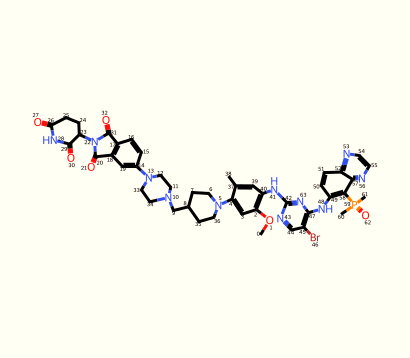 COc1cc(N2CCC(CN3CCN(c4ccc5c(c4)C(=O)N(C4CCC(=O)NC4=O)C5=O)CC3)CC2)c(C)cc1Nc1ncc(Br)c(Nc2ccc3nccnc3c2P(C)(C)=O)n1